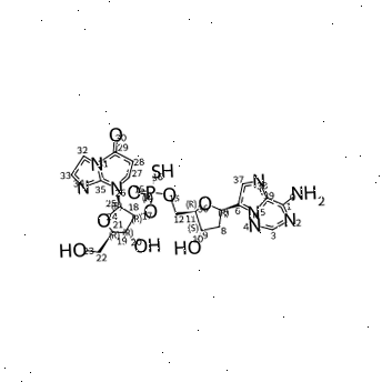 Nc1ncnn2c([C@H]3C[C@H](O)[C@@H](CO[P@@](=O)(S)O[C@@H]4[C@H](O)[C@@H](CO)O[C@H]4n4ccc(=O)n5ccnc45)O3)cnc12